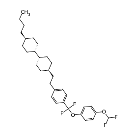 CCCC[C@H]1CC[C@H]([C@H]2CC[C@H](CCc3ccc(C(F)(F)Oc4ccc(OC(F)F)cc4)cc3)CC2)CC1